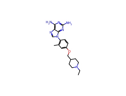 CCN1CCC(COc2ccc(-n3cnc4c(N)nc(N)nc43)c(C)c2)CC1